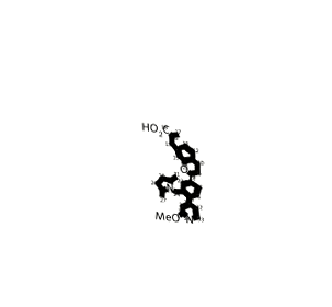 COc1cc(-c2ccc([C@@H]3CCc4ccc(CC(C)C(=O)O)cc4O3)cc2CN2C(C)CCC2C)ccn1